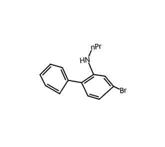 CCCNc1cc(Br)ccc1-c1ccccc1